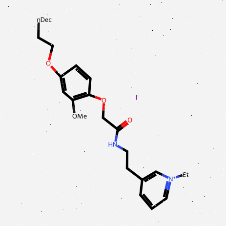 CCCCCCCCCCCCOc1ccc(OCC(=O)NCCc2ccc[n+](CC)c2)c(OC)c1.[I-]